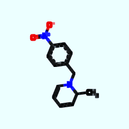 CC1C=CC=CN1Cc1ccc([N+](=O)[O-])cc1